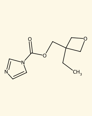 CCC1(COC(=O)n2ccnc2)COC1